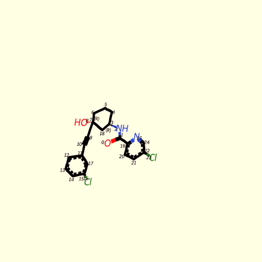 O=C(N[C@@H]1CCC[C@](O)(C#Cc2cccc(Cl)c2)C1)c1ccc(Cl)cn1